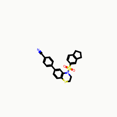 N#Cc1ccc(-c2ccc3c(c2)N(S(=O)(=O)c2ccc4c(c2)CCC4)CCS3)cc1